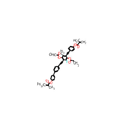 C=CC(=O)Oc1c(F)c(C#Cc2ccc(-c3ccc(OC(=O)C(=C)C)cc3)cc2)c(OC(=O)C=O)c(C)c1C#Cc1ccc(OC(=O)C(=C)C)cc1